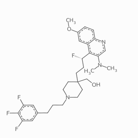 COc1ccc2ncc(N(C)C)c([C@@H](F)CCC3(CO)CCN(CCCc4cc(F)c(F)c(F)c4)CC3)c2c1